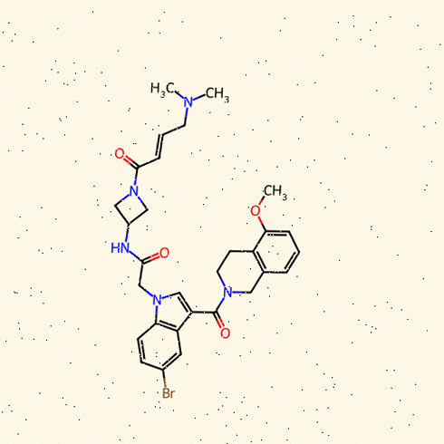 COc1cccc2c1CCN(C(=O)c1cn(CC(=O)NC3CN(C(=O)/C=C/CN(C)C)C3)c3ccc(Br)cc13)C2